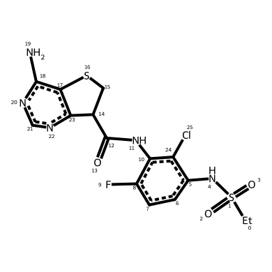 CCS(=O)(=O)Nc1ccc(F)c(NC(=O)C2CSc3c(N)ncnc32)c1Cl